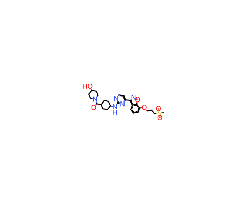 CS(=O)(=O)CCCOc1cccc2c(-c3ccnc(NC4CCC(C(=O)N5CCC(O)CC5)CC4)n3)noc12